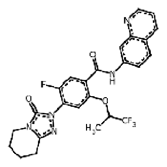 CC(Oc1cc(-n2nc3n(c2=O)CCCC3)c(F)cc1C(=O)Nc1ccc2cccnc2c1)C(F)(F)F